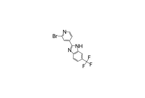 FC(F)(F)c1ccc2nc(-c3ccnc(Br)c3)[nH]c2c1